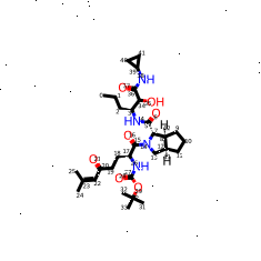 CCC[C@H](NC(=O)[C@@H]1[C@H]2CCC[C@H]2CN1C(=O)[C@H](CCC(=O)C=C(C)C)NC(=O)OC(C)(C)C)C(O)C(=O)NC1CC1